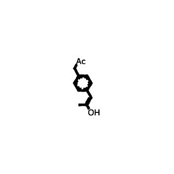 CC(=O)Cc1ccc(/C=C(\C)O)cc1